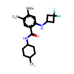 CNc1cc(NC2CC(F)(F)C2)c(C(=O)NC2CCC(C(F)(F)F)CC2)cc1[N+](=O)[O-]